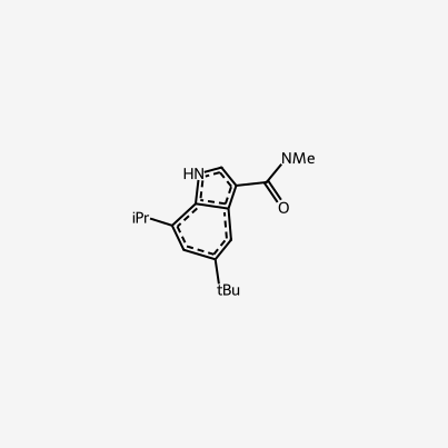 CNC(=O)c1c[nH]c2c(C(C)C)cc(C(C)(C)C)cc12